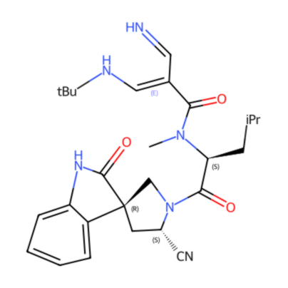 CC(C)C[C@@H](C(=O)N1C[C@]2(C[C@H]1C#N)C(=O)Nc1ccccc12)N(C)C(=O)/C(C=N)=C/NC(C)(C)C